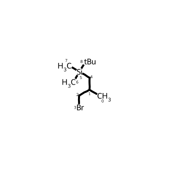 CC(CBr)C[Si](C)(C)C(C)(C)C